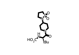 CC(C)(C)[C@@H](NC(=O)O)C(=O)N1CCC(N2CCCS2(=O)=O)CC1